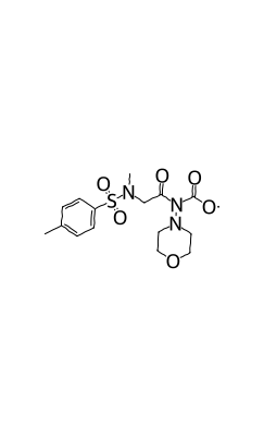 Cc1ccc(S(=O)(=O)N(C)CC(=O)N(C([O])=O)N2CCOCC2)cc1